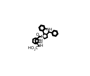 O=C(O)N[C@@H]1C2CCC(CC2)[C@@H]1C(=O)N1CCC2C(c3ccccc3)Nc3ccccc3C21